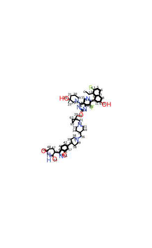 CCc1c(F)ccc2cc(O)cc(-c3ncc4c(N5CCC[C@@](C)(O)C5)nc(OCC5(CN6CCC(CN7CCC(c8ccc9c(C%10CCC(=O)NC%10=O)noc9c8)CC7)CC6)CC5)nc4c3F)c12